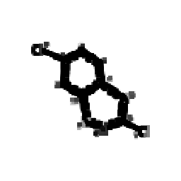 Clc1ccc2nc(Cl)nnc2c1